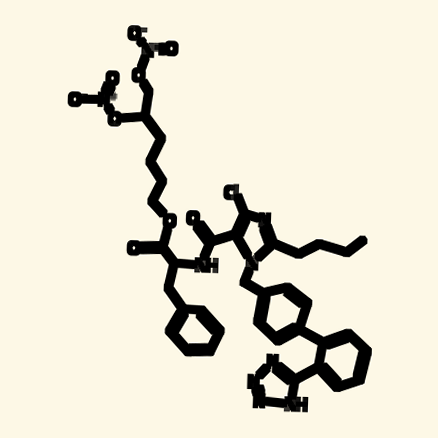 CCCCc1nc(Cl)c(C(=O)NC(Cc2ccccc2)C(=O)OCCCCC(CO[N+](=O)[O-])O[N+](=O)[O-])n1Cc1ccc(-c2ccccc2-c2nnn[nH]2)cc1